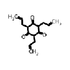 C=CCC1C(=O)C(CC=C)C(=O)C(CC=C)C1=O